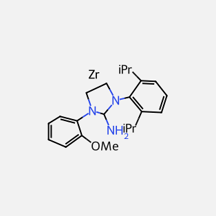 COc1ccccc1N1CCN(c2c(C(C)C)cccc2C(C)C)C1N.[Zr]